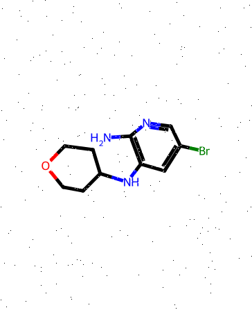 Nc1ncc(Br)cc1NC1CCOCC1